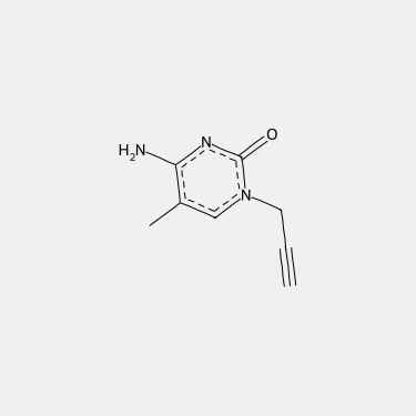 C#CCn1cc(C)c(N)nc1=O